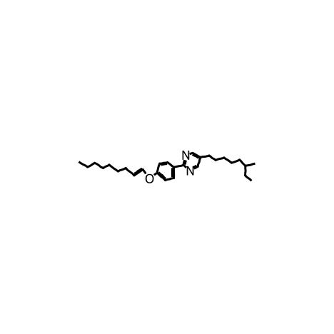 CCCCCCCC=COc1ccc(-c2ncc(CCCCCC(C)CC)cn2)cc1